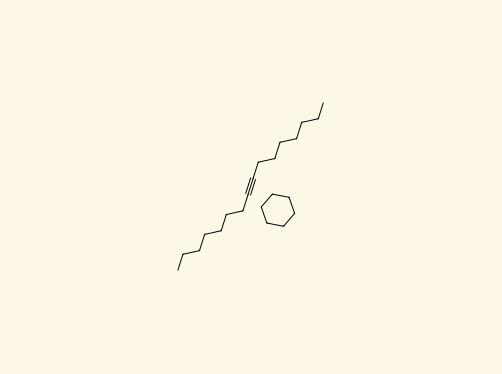 C1CCCCC1.CCCCCCCC#CCCCCCCC